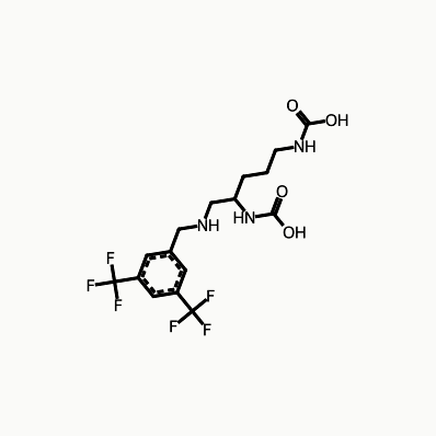 O=C(O)NCCCC(CNCc1cc(C(F)(F)F)cc(C(F)(F)F)c1)NC(=O)O